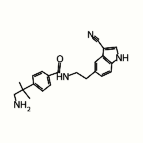 CC(C)(CN)c1ccc(C(=O)NCCc2ccc3[nH]cc(C#N)c3c2)cc1